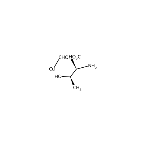 C[C@@H](O)[C@H](N)C(=O)O.O=[CH][Cu]